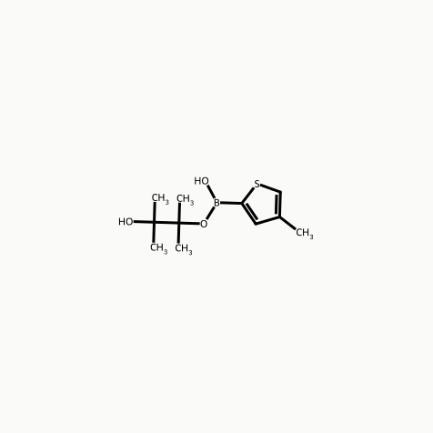 Cc1csc(B(O)OC(C)(C)C(C)(C)O)c1